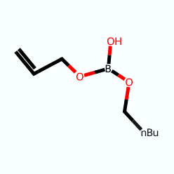 C=CCOB(O)OCCCCC